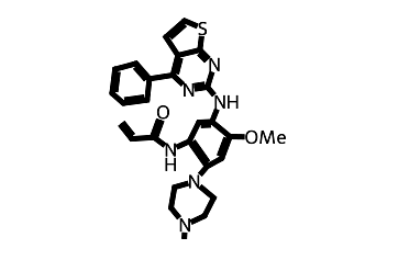 C=CC(=O)Nc1cc(Nc2nc(-c3ccccc3)c3ccsc3n2)c(OC)cc1N1CCN(C)CC1